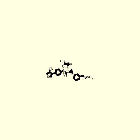 N#Cc1cscc1-c1ccc(NC(=O)[C@@H]2C[C@@H]2c2cccc(C=NN)c2)cc1.O=C(O)C(F)(F)F